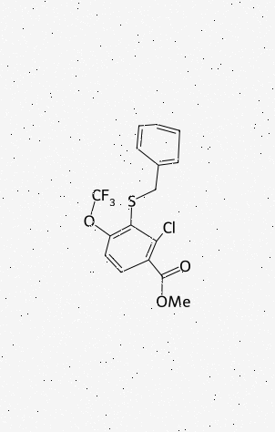 COC(=O)c1ccc(OC(F)(F)F)c(SCc2ccccc2)c1Cl